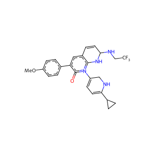 COc1ccc(-c2cc3c(n(C4=CC=C(C5CC5)NC4)c2=O)NC(NCC(F)(F)F)C=C3)cc1